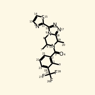 Cc1c(C(=O)N2C(C)Cn3c(-c4nccs4)nnc3C2C)cccc1C(F)(F)F